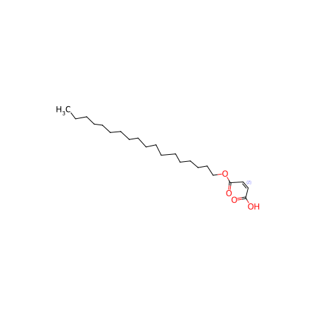 CCCCCCCCCCCCCCCCCCOC(=O)/C=C\C(=O)O